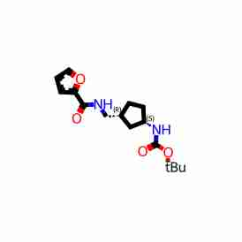 CC(C)(C)OC(=O)N[C@H]1CC[C@@H](CNC(=O)c2ccco2)C1